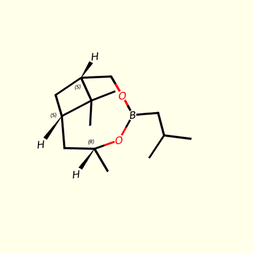 CC(C)CB1OC[C@H]2C[C@@H](C[C@@H](C)O1)C2(C)C